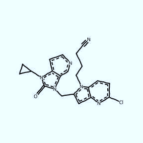 N#CCCCn1c(Cn2c(=O)n(C3CC3)c3ccncc32)cc2nc(Cl)ccc21